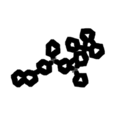 c1ccc(N(c2ccc(-c3ccc4ccccc4c3)cc2)c2ccc3c(c2)c2cc(C4(c5ccccc5)c5ccccc5-c5ccccc54)ccc2n3-c2ccccc2)cc1